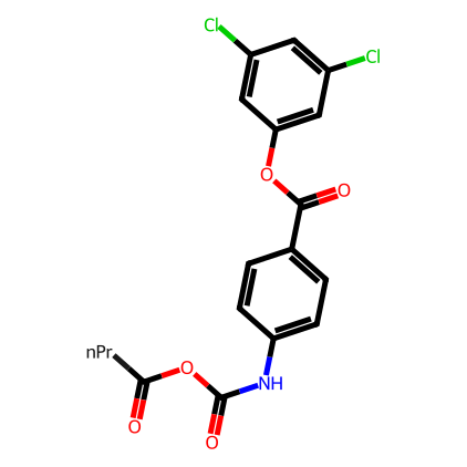 CCCC(=O)OC(=O)Nc1ccc(C(=O)Oc2cc(Cl)cc(Cl)c2)cc1